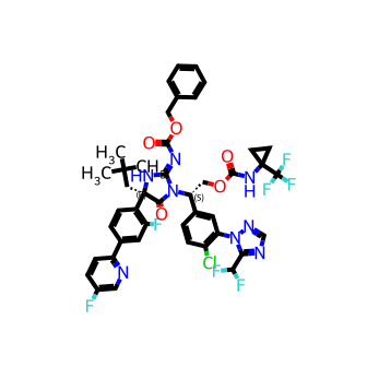 CC(C)(C)C[C@]1(c2ccc(-c3ccc(F)cn3)cc2F)NC(=NC(=O)OCc2ccccc2)N([C@H](COC(=O)NC2(C(F)(F)F)CC2)c2ccc(Cl)c(-n3ncnc3C(F)F)c2)C1=O